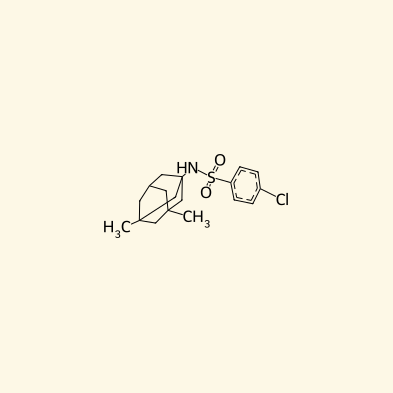 CC12CC3CC(C)(C1)CC(NS(=O)(=O)c1ccc(Cl)cc1)(C3)C2